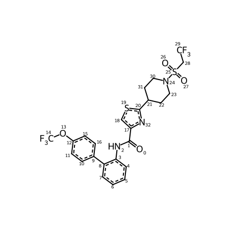 O=C(Nc1ccccc1-c1ccc(OC(F)(F)F)cc1)c1csc(C2CCN(S(=O)(=O)CC(F)(F)F)CC2)n1